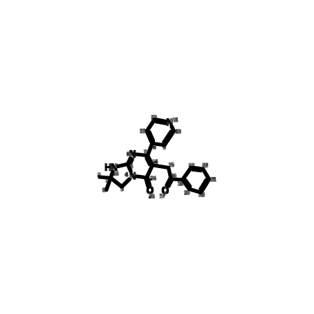 CC1(C)Cn2c(nc(-c3ccncc3)c(CC(=O)c3ccccc3)c2=O)N1